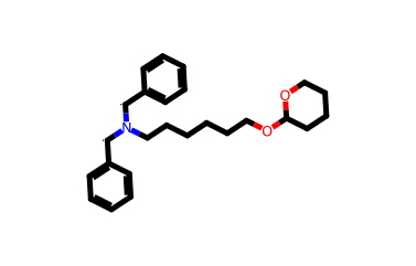 [CH](c1ccccc1)N([CH]c1ccccc1)CCCCCCOC1CCCCO1